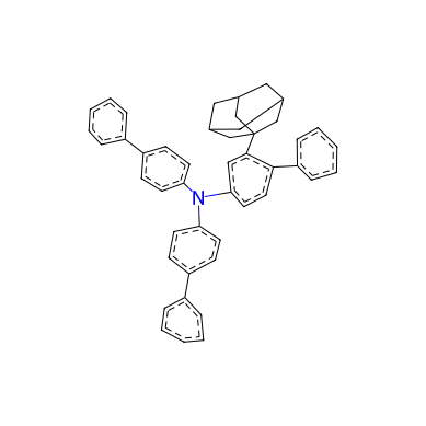 c1ccc(-c2ccc(N(c3ccc(-c4ccccc4)cc3)c3ccc(-c4ccccc4)c(C45CC6CC(CC(C6)C4)C5)c3)cc2)cc1